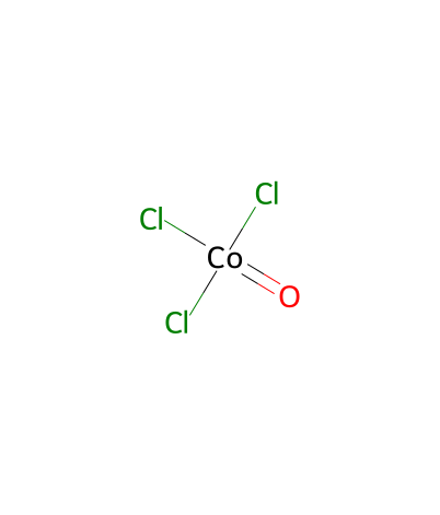 [O]=[Co]([Cl])([Cl])[Cl]